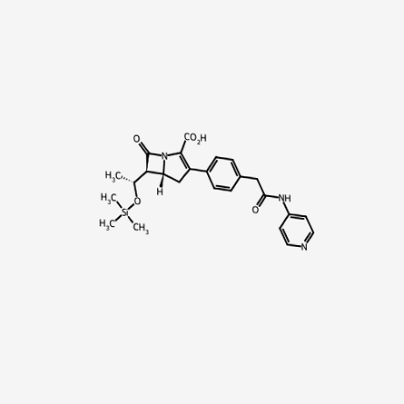 C[C@@H](O[Si](C)(C)C)[C@H]1C(=O)N2C(C(=O)O)=C(c3ccc(CC(=O)Nc4ccncc4)cc3)C[C@H]12